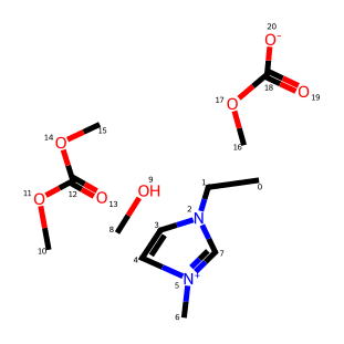 CCn1cc[n+](C)c1.CO.COC(=O)OC.COC(=O)[O-]